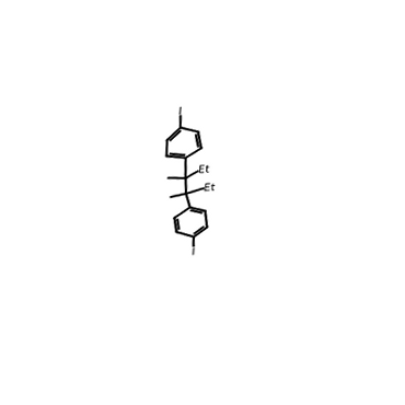 CCC(C)(c1ccc(I)cc1)C(C)(CC)c1ccc(I)cc1